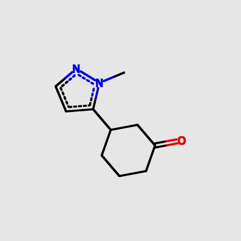 Cn1nccc1C1CCCC(=O)C1